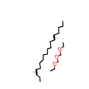 CC/C=C\CCCCCCCC/C=C/CCCC.CCOCOCOCC